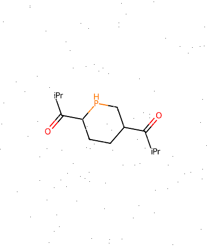 CC(C)C(=O)C1CCC(C(=O)C(C)C)PC1